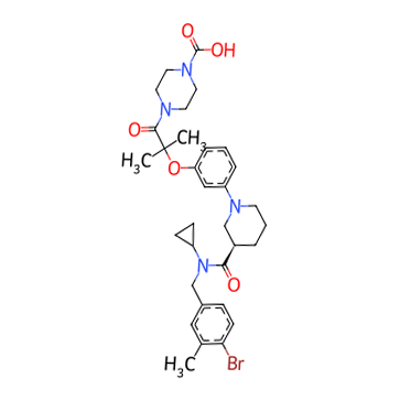 Cc1cc(CN(C(=O)[C@@H]2CCCN(c3cccc(OC(C)(C)C(=O)N4CCN(C(=O)O)CC4)c3)C2)C2CC2)ccc1Br